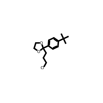 CC(C)(C)c1ccc(C2(CCCCl)OCCO2)cc1